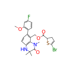 COc1cc(F)ccc1-c1ccc2c(c1COC(=O)C1CC=C(Br)S1)N(C)C(=O)C(C)(C)N2